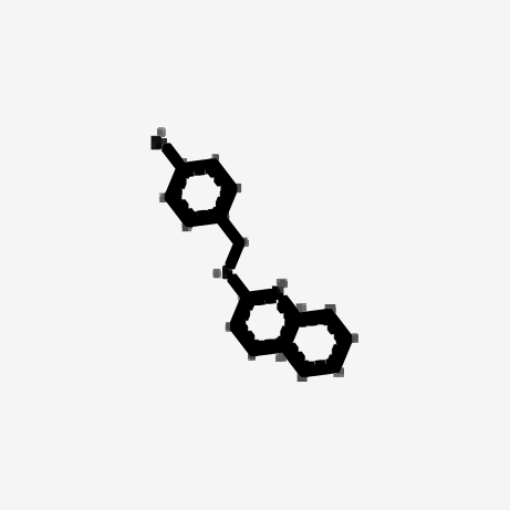 Brc1ccc(CSc2ccc3ccccc3n2)cc1